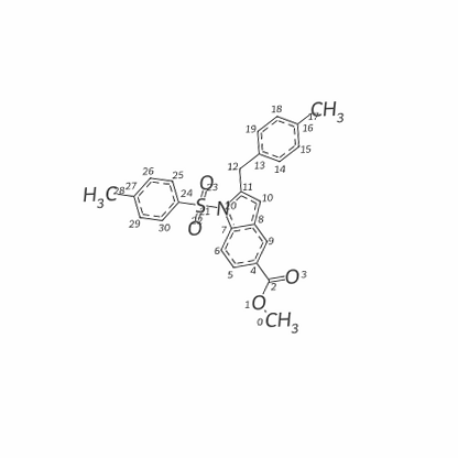 COC(=O)c1ccc2c(c1)cc(Cc1ccc(C)cc1)n2S(=O)(=O)c1ccc(C)cc1